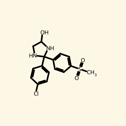 CS(=O)(=O)c1ccc(C2(c3ccc(Cl)cc3)NCC(O)N2)cc1